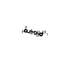 O=S(=O)(c1cccc(C(F)(F)F)c1)C1CCN(c2nc(Cc3cc(F)cc(F)c3)cs2)CC1